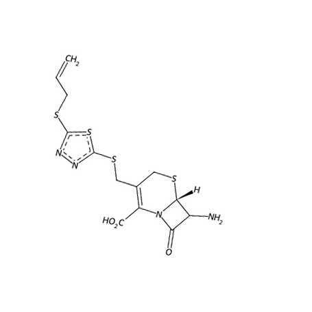 C=CCSc1nnc(SCC2=C(C(=O)O)N3C(=O)C(N)[C@H]3SC2)s1